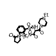 CCN1CCN(C(=O)[C@@H](NS(=O)(=O)c2cccc(N3CCCC3=O)c2C)C(N)=O)CC1